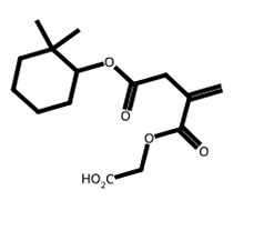 C=C(CC(=O)OC1CCCCC1(C)C)C(=O)OCC(=O)O